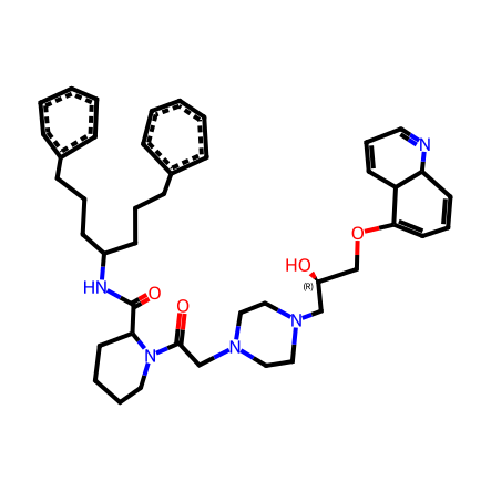 O=C(NC(CCCc1ccccc1)CCCc1ccccc1)C1CCCCN1C(=O)CN1CCN(C[C@@H](O)COC2=CC=CC3N=CC=CC23)CC1